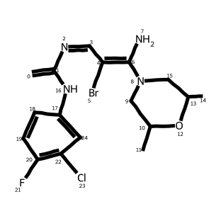 C=C(/N=C\C(Br)=C(/N)N1CC(C)OC(C)C1)Nc1ccc(F)c(Cl)c1